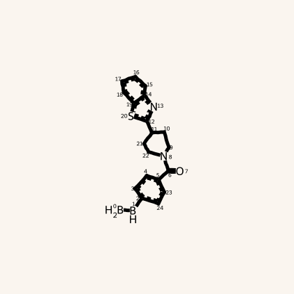 BBc1ccc(C(=O)N2CCC(c3nc4ccccc4s3)CC2)cc1